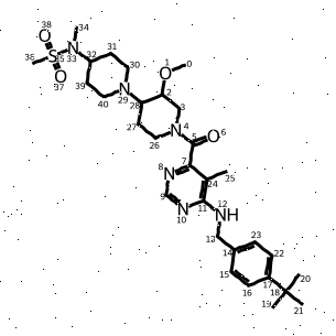 COC1CN(C(=O)c2ncnc(NCc3ccc(C(C)(C)C)cc3)c2C)CCC1N1CCC(N(C)S(C)(=O)=O)CC1